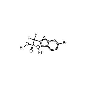 CCOP(=O)(OCC)C(F)(F)c1cc2ccc(Br)cc2s1